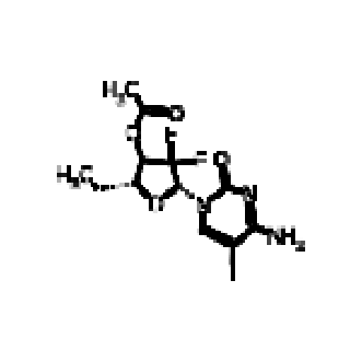 CC[C@H]1O[C@@H](n2cc(I)c(N)nc2=O)C(F)(F)C1OC(C)=O